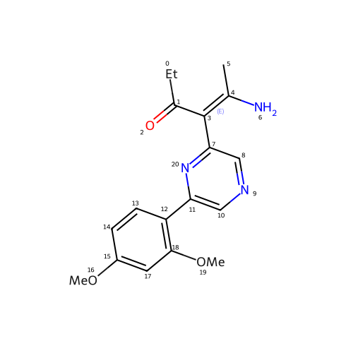 CCC(=O)/C(=C(\C)N)c1cncc(-c2ccc(OC)cc2OC)n1